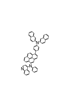 c1ccc(N(c2ccnc3ccccc23)c2cc3ccc(-c4ccc(N(c5ccc6ccccc6c5)c5ccc6ccccc6c5)cc4)c4ccc5cccc2c5c34)cc1